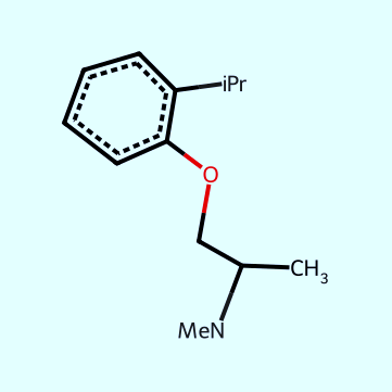 CNC(C)COc1ccccc1C(C)C